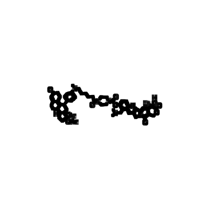 CC[C@@]1(O)C(=O)OCc2c1cc1n(c2=O)Cc2cc3c(CN(C)C)c(OC(=O)N4CCN(C(=O)CCCCCN(C)c5ccc([C@H]6C[C@@]7(C)[C@@H](CC[C@]7(OC(C)=O)C(C)=O)C7CCC8=CC(=O)CCC8=C76)cc5)CC4)ccc3nc2-1